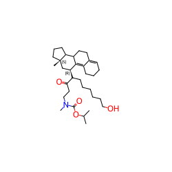 CC(C)OC(=O)N(C)CCC(=O)C(CCCCCCO)[C@H]1C[C@]2(C)CCCC2C2CCC3=CCCCC3=C21